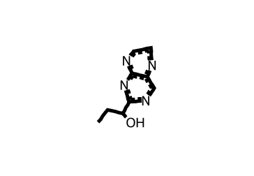 CCC(O)c1ncc2nccnc2n1